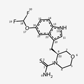 NC(=S)N1CCOC[C@@H]1Cc1c[nH]c2ccc(OC(F)F)cc12